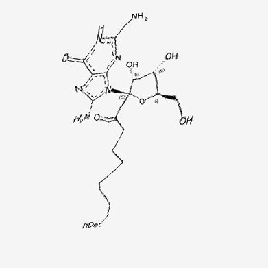 CCCCCCCCCCCCCCCC(=O)[C@@]1(n2c(N)nc3c(=O)[nH]c(N)nc32)O[C@H](CO)[C@@H](O)[C@H]1O